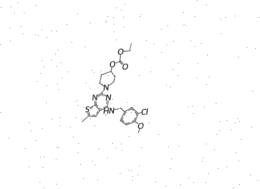 CCOC(=O)OC1CCN(c2nc(NCc3ccc(OC)c(Cl)c3)c3cc(C)sc3n2)CC1